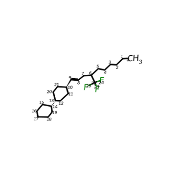 CCCCCCC(CC=C[C@H]1CC[C@H](C2CCCCC2)CC1)C(F)(F)F